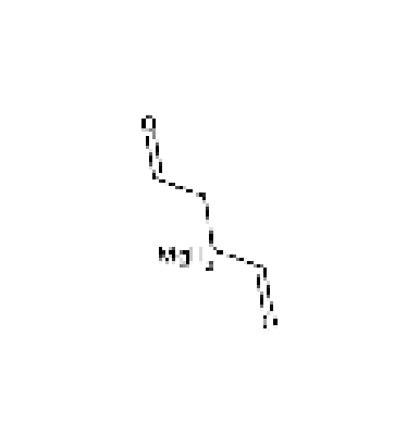 O=CCCC=O.[MgH2]